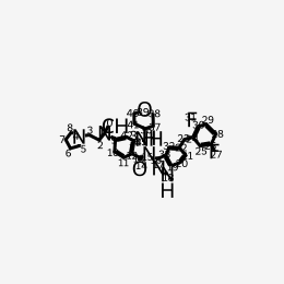 CN(CCN1CCCC1)c1ccc(C(=O)Nc2n[nH]c3ccc(Cc4cc(F)ccc4F)cc23)c(NC2CCOCC2)c1